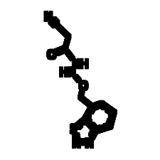 N#CCC(=O)NNOCc1cccc2nnsc12